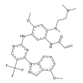 C=CC(=O)Nc1cc(Nc2ncc(C(F)(F)F)c(-n3ncc4c(OC)cccc43)n2)c(OC)cc1N(C)CCN(C)C